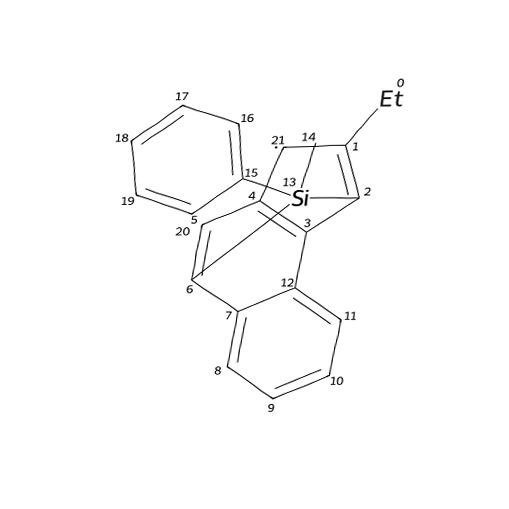 CCC1=C2c3c(cc(c4ccccc34)[Si]2(C)c2ccccc2)[CH]1